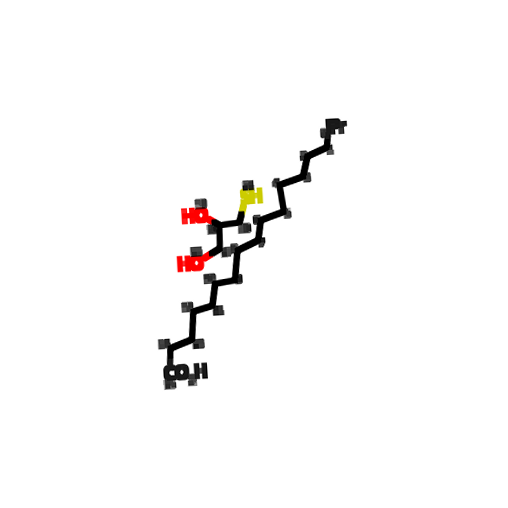 CC(C)CCCCCCCCCCCCCCC(=O)O.OCC(O)CS